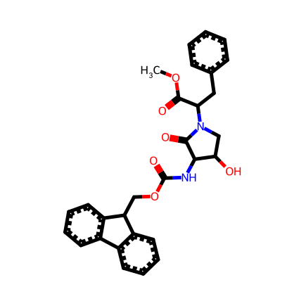 COC(=O)C(Cc1ccccc1)N1CC(O)C(NC(=O)OCC2c3ccccc3-c3ccccc32)C1=O